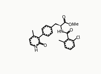 COC(=O)[C@H](Cc1ccc(-c2c(C)cc[nH]c2=O)cc1)NC(=O)c1c(C)cccc1Cl